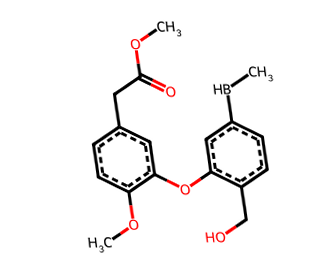 CBc1ccc(CO)c(Oc2cc(CC(=O)OC)ccc2OC)c1